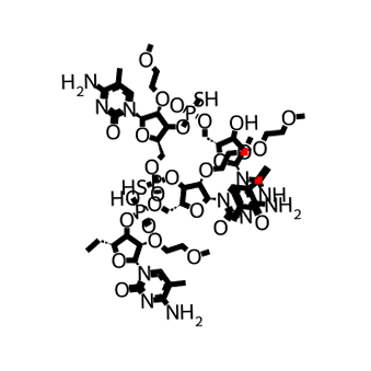 C=C1NC(=O)C(C)=CN1[C@@H]1O[C@H](COP(=O)(S)OC2[C@@H](COP(=O)(S)OC3[C@@H](COP(=O)(O)OC4[C@@H](CC)O[C@@H](n5cc(C)c(N)nc5=O)[C@H]4OCCOC)O[C@@H](n4cc(C)c(N)nc4=O)[C@H]3OCCOC)O[C@@H](n3cc(C)c(N)nc3=O)[C@H]2OCCOC)C(O)[C@@H]1OCCOC